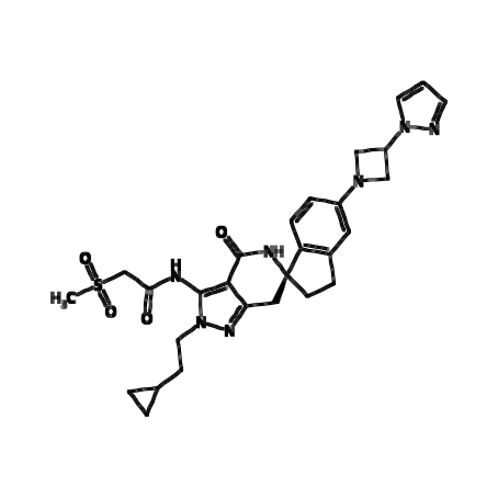 CS(=O)(=O)CC(=O)Nc1c2c(nn1CCC1CC1)C[C@@]1(CCc3cc(N4CC(n5cccn5)C4)ccc31)NC2=O